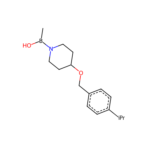 CB(O)N1CCC(OCc2ccc(C(C)C)cc2)CC1